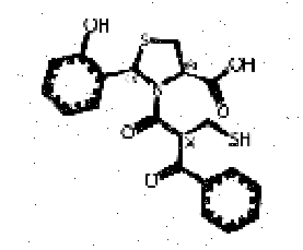 O=C(c1ccccc1)[C@H](CS)C(=O)N1[C@@H](c2ccccc2O)SC[C@H]1C(=O)O